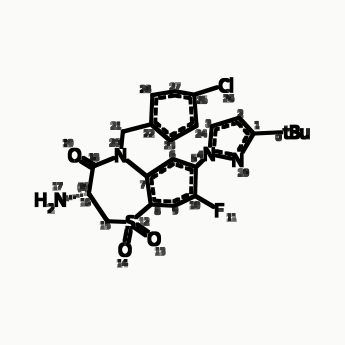 CC(C)(C)c1ccn(-c2cc3c(cc2F)S(=O)(=O)C[C@H](N)C(=O)N3Cc2ccc(Cl)cc2)n1